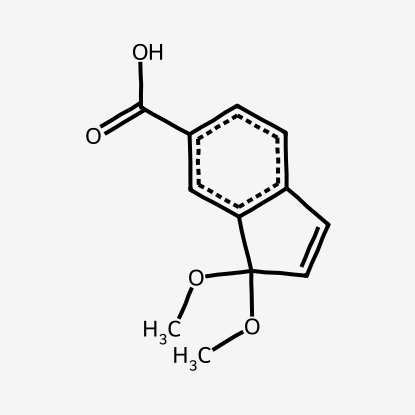 COC1(OC)C=Cc2ccc(C(=O)O)cc21